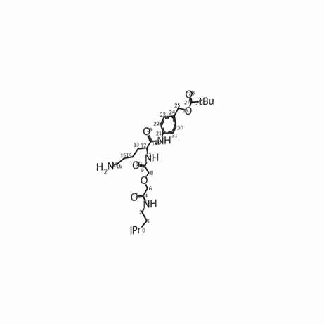 CC(C)CCNC(=O)COCC(=O)N[C@@H](CCCCN)C(=O)Nc1ccc(COC(=O)C(C)(C)C)cc1